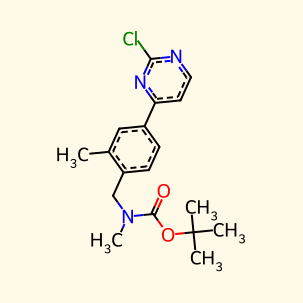 Cc1cc(-c2ccnc(Cl)n2)ccc1CN(C)C(=O)OC(C)(C)C